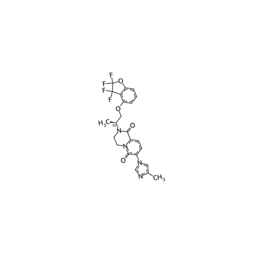 Cc1cn(-c2ccc3n(c2=O)CCN([C@@H](C)COc2cccc4c2C(F)(F)C(F)(F)O4)C3=O)cn1